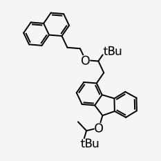 CC(OC1c2ccccc2-c2c(CC(OCCc3cccc4ccccc34)C(C)(C)C)cccc21)C(C)(C)C